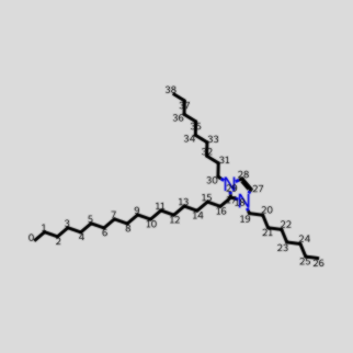 CCCCCCCCCCCCCCCCCC1N(CCCCCCCC)C=CN1CCCCCCCCC